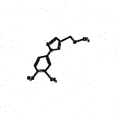 COCc1cnn(-c2ccc(N)c(C)c2)c1